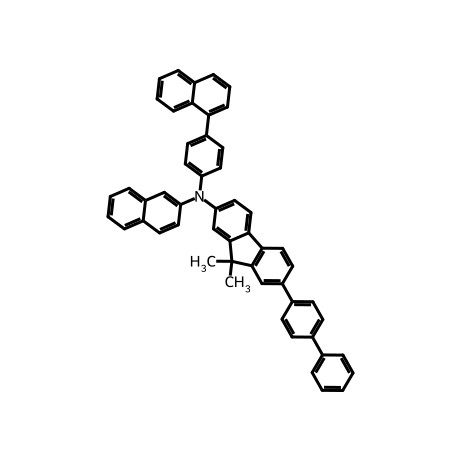 CC1(C)c2cc(-c3ccc(-c4ccccc4)cc3)ccc2-c2ccc(N(c3ccc(-c4cccc5ccccc45)cc3)c3ccc4ccccc4c3)cc21